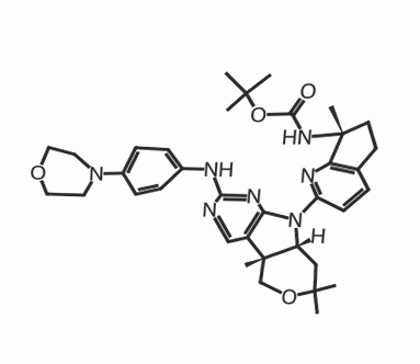 CC(C)(C)OC(=O)N[C@]1(C)CCc2ccc(N3c4nc(Nc5ccc(N6CCOCC6)cc5)ncc4[C@@]4(C)COC(C)(C)C[C@@H]34)nc21